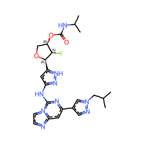 CC(C)Cn1cc(-c2cc3nccn3c(Nc3cc([C@H]4OC[C@@H](OC(=O)NC(C)C)[C@H]4F)[nH]n3)n2)cn1